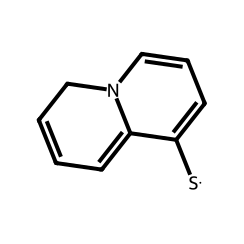 [S]C1=CC=CN2CC=CC=C12